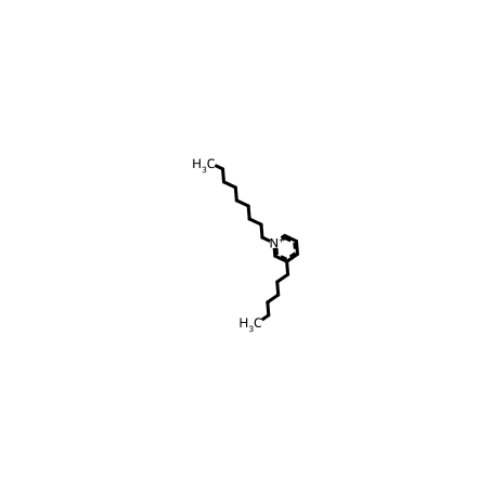 CCCCCCCCC[n+]1cccc(CCCCCC)c1